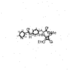 CCOc1c(N[C@@H](Cc2ccc(NC(=O)c3cccnc3)cc2)C(=O)OC)c(=O)c1=O